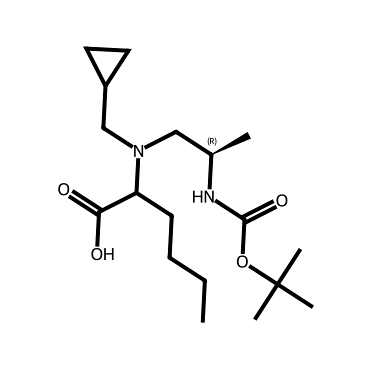 CCCCC(C(=O)O)N(CC1CC1)C[C@@H](C)NC(=O)OC(C)(C)C